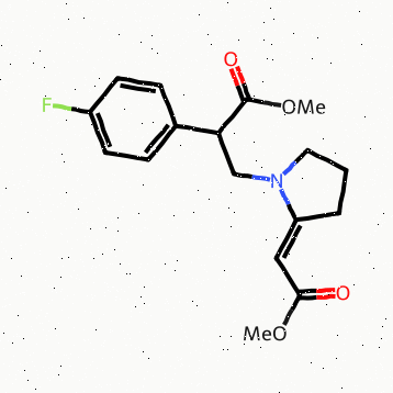 COC(=O)/C=C1\CCCN1CC(C(=O)OC)c1ccc(F)cc1